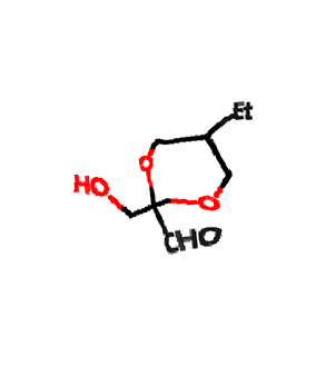 CCC1COC(C=O)(CO)OC1